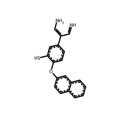 N=C/C(=C\N)c1ccc(Oc2ccc3ccccc3c2)c(S)c1